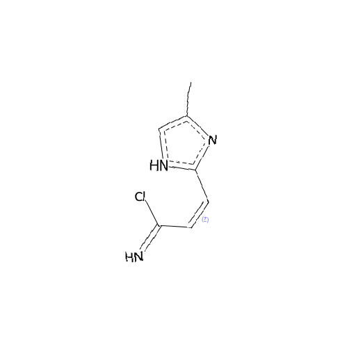 Cc1c[nH]c(/C=C\C(=N)Cl)n1